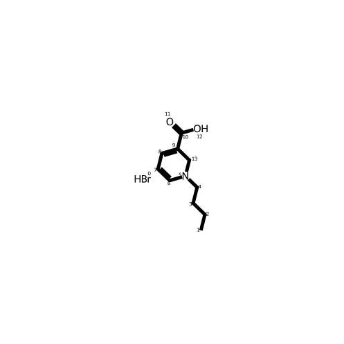 Br.CCCCN1C=CC=C(C(=O)O)C1